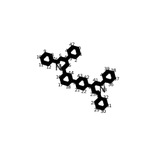 c1ccc(-c2cc(-c3ccccc3)nc(-c3cccc(-c4ccc(-c5cc(-c6ccccc6)nc(-c6ccccc6)c5)cc4)c3)c2)cc1